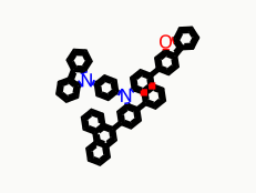 c1ccc(-c2ccc(-c3cc4ccccc4c4ccccc34)cc2N(c2ccc(-c3ccc4c(c3)oc3ccccc34)cc2)c2ccc(-n3c4ccccc4c4ccccc43)cc2)cc1